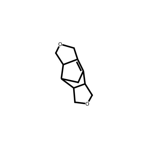 C1OCC2C1=C1CC2C2COCC12